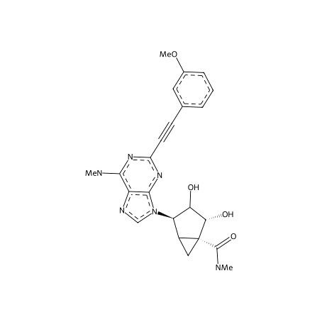 CNC(=O)[C@]12CC1[C@@H](n1cnc3c(NC)nc(C#Cc4cccc(OC)c4)nc31)C(O)[C@@H]2O